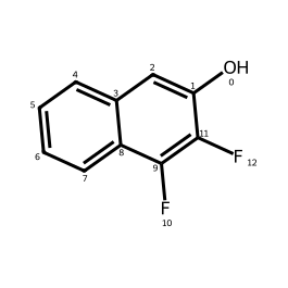 Oc1cc2ccccc2c(F)c1F